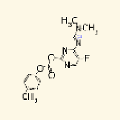 Cc1ccc(OC(=O)Oc2ncc(F)c(/N=C/N(C)C)n2)cc1